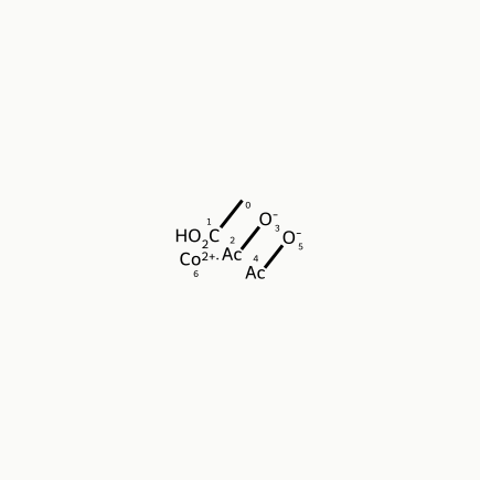 CC(=O)O.CC(=O)[O-].CC(=O)[O-].[Co+2]